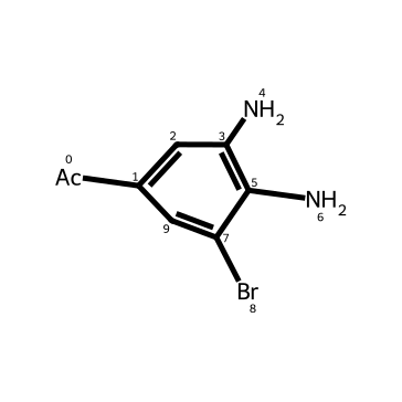 CC(=O)c1cc(N)c(N)c(Br)c1